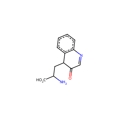 NC(CC1C(=O)C=Nc2ccccc21)C(=O)O